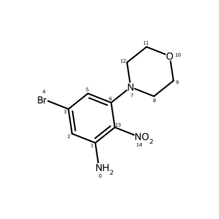 Nc1cc(Br)cc(N2CCOCC2)c1[N+](=O)[O-]